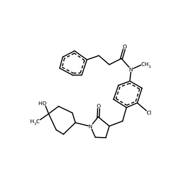 CN(C(=O)CCc1ccccc1)c1ccc(CC2CCN(C3CCC(C)(O)CC3)C2=O)c(Cl)c1